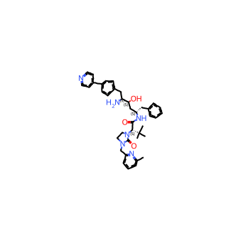 Cc1cccc(CN2CCN([C@H](C(=O)N[C@@H](Cc3ccccc3)C[C@H](O)[C@@H](N)Cc3ccc(-c4ccncc4)cc3)C(C)(C)C)C2=O)n1